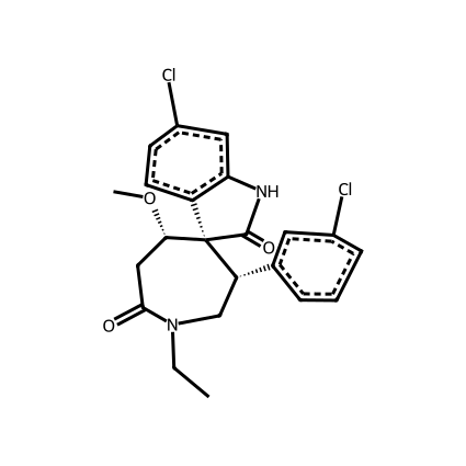 CCN1C[C@@H](c2cccc(Cl)c2)[C@]2(C(=O)Nc3cc(Cl)ccc32)[C@@H](OC)CC1=O